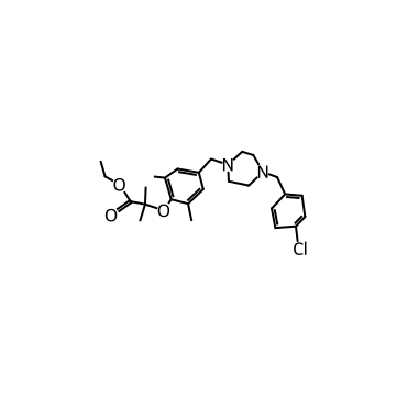 CCOC(=O)C(C)(C)Oc1c(C)cc(CN2CCN(Cc3ccc(Cl)cc3)CC2)cc1C